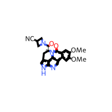 COc1cc2c(=O)n3c4c(cnc5[nH]cc(c54)C[C@@H]3C(=O)N3CC(C#N)C3)c2cc1OC